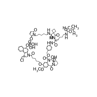 COc1cc2c(cc1OCCCCC(=O)N1C[C@@H](CCl)c3c1cc(OP(=O)(O)O)c1ccccc31)N(C(=O)OCc1ccc(NC(=O)[C@H](CCCCNC(=O)OC(C)(C)C)NC(=O)C3(C(=O)NCCCCCN4C(=O)C=CC4=O)CCC3)cc1)C(O)[C@@H]1CCCN1C2=O